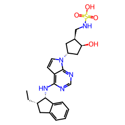 CC[C@H]1Cc2ccccc2[C@H]1Nc1ncnc2c1ccn2[C@@H]1C[C@@H](CNS(=O)(=O)O)[C@@H](O)C1